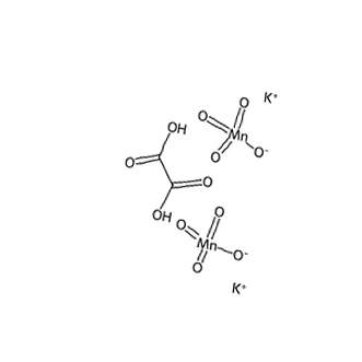 O=C(O)C(=O)O.[K+].[K+].[O]=[Mn](=[O])(=[O])[O-].[O]=[Mn](=[O])(=[O])[O-]